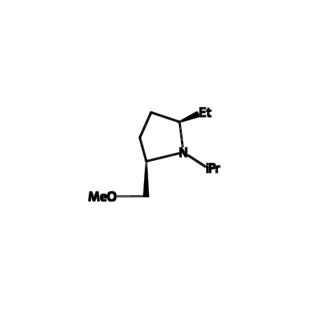 CC[C@@H]1CC[C@H](COC)N1C(C)C